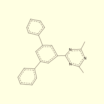 Cc1nc(C)nc(-c2cc(-c3ccccc3)cc(-c3ccccc3)c2)n1